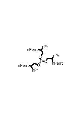 CCCCCC(CCC)COP(OCC(CCC)CCCCC)OCC(CCC)CCCCC